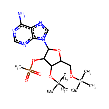 CC(C)(C)[Si](C)(C)OCC1OC(n2cnc3c(N)ncnc32)C(OS(=O)(=O)C(F)(F)F)C1O[Si](C)(C)C(C)(C)C